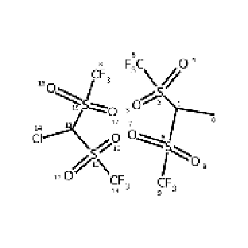 CC(S(=O)(=O)C(F)(F)F)S(=O)(=O)C(F)(F)F.O=S(=O)(C(Cl)S(=O)(=O)C(F)(F)F)C(F)(F)F